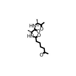 CC(=O)CCCCC(=O)N[C@@H](C)C(=O)N[C@@H](C)C(C)=O